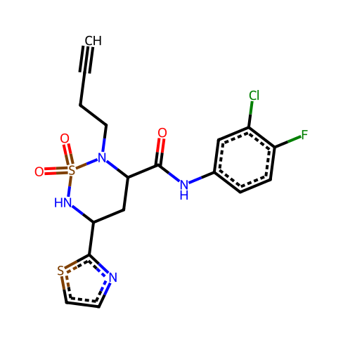 C#CCCN1C(C(=O)Nc2ccc(F)c(Cl)c2)CC(c2nccs2)NS1(=O)=O